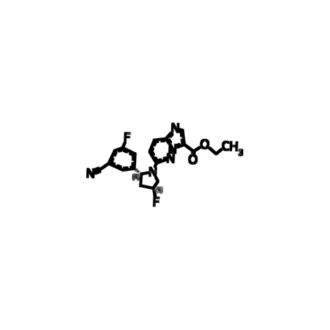 CCOC(=O)c1cnc2ccc(N3C[C@@H](F)C[C@@H]3c3cc(F)cc(C#N)c3)nn12